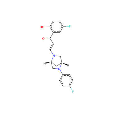 O=C(/C=C/N1C[C@H]2C[C@@H]1CN2c1ccc(F)cc1)c1cc(F)ccc1O